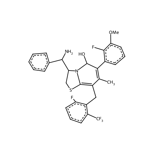 COc1cccc(C2=C(C)C(Cc3c(F)cccc3C(F)(F)F)=C3SCC(C(N)c4ccccc4)N3C2O)c1F